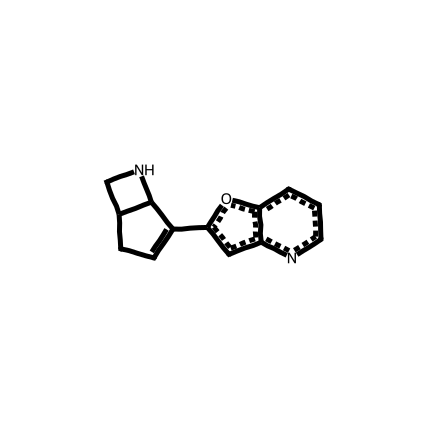 C1=C(c2cc3ncccc3o2)C2NCC2C1